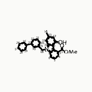 COC(=O)c1cccc2c1c1c(O)cc(C)cc1n2Cc1cccc(-c2ccccc2)c1